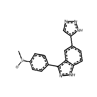 C[S+]([O-])c1ccc(-c2n[nH]c3ccc(-c4cnn[nH]4)cc23)cc1